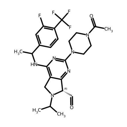 CC(=O)N1CCN(c2nc(NC(C)c3ccc(C(F)(F)F)c(F)c3)c3c(n2)[C@H](C=O)N(C(C)C)C3)CC1